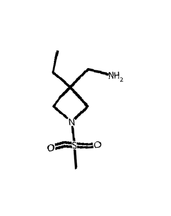 CCC1(CN)CN(S(C)(=O)=O)C1